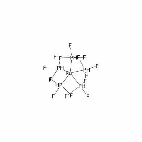 F[PH](F)(F)[Ru]([PH](F)(F)F)([PH](F)(F)F)([PH](F)(F)F)[PH](F)(F)F